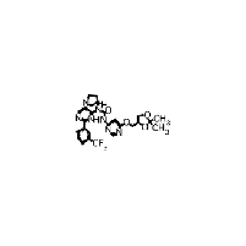 CC1(C)OCC(COc2cc(NC(=O)N3c4nc(-c5cccc(C(F)(F)F)c5)ncc4N4CC[C@H]3C4)ncn2)O1